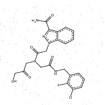 NC(=O)c1nn(CC(=O)N(CC(=O)CO)CC(=O)NCc2cccc(Cl)c2F)c2ccccc12